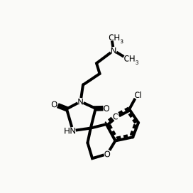 CN(C)CCCN1C(=O)NC2(CCOc3ccc(Cl)cc32)C1=O